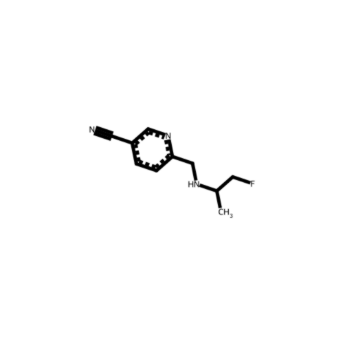 CC(CF)NCc1ccc(C#N)cn1